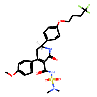 COc1ccc(C2=C(C(=O)NS(=O)(=O)N(C)C)C(=O)N[C@](C)(c3ccc(OCCCC(F)(F)F)cc3)C2)cc1